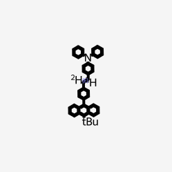 [2H]/C(=C(/[2H])c1ccc(N(c2ccccc2)c2ccccc2)cc1)c1ccc(-c2c3ccccc3c(C(C)(C)C)c3ccccc23)cc1